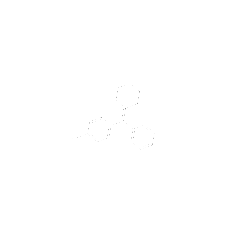 Clc1ccc(C(=C2CCNCC2)c2ccccc2)cc1